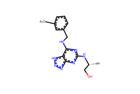 CC(=O)Oc1cccc(CNc2nc(N[C@@H](CO)C(C)C)nc3nn[nH]c23)c1